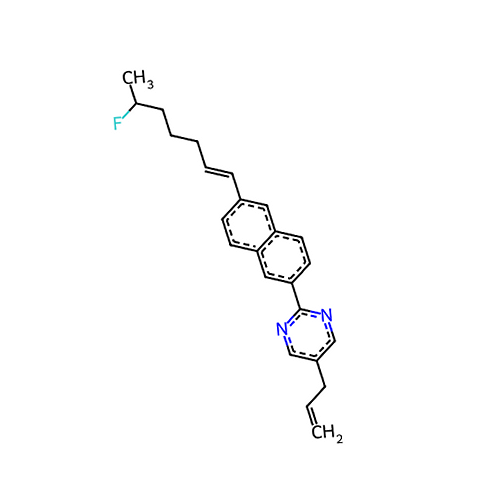 C=CCc1cnc(-c2ccc3cc(/C=C/CCCC(C)F)ccc3c2)nc1